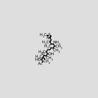 C=C[C@](C)(C(=O)[C@H](C)[C@@H](O)[C@@H](C)CCC[C@H](C)[C@@H](C)C(N)[C@H](C)/C(C)=C/c1csc(C)n1)[C@@H](O)CC(C)=O